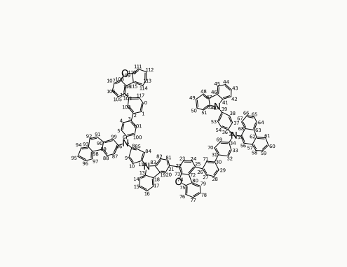 c1cc(-c2ccc(N(c3ccc(-n4c5ccccc5c5cc(-c6ccc(-c7cccc(-c8ccc(N(c9ccc(-n%10c%11ccccc%11c%11ccccc%11%10)cc9)c9cc%10ccccc%10c%10ccccc9%10)cc8)c7)c7c6oc6ccccc67)ccc54)cc3)c3ccc4c(ccc5ccccc54)c3)cc2)cc(-c2cccc3oc4ccccc4c23)c1